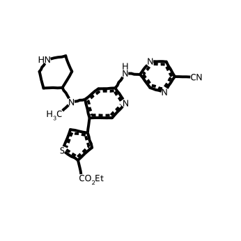 CCOC(=O)c1cc(-c2cnc(Nc3cnc(C#N)cn3)cc2N(C)C2CCNCC2)cs1